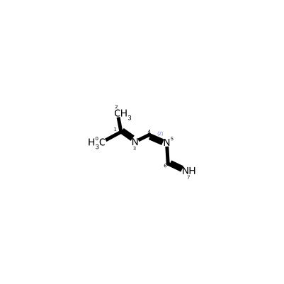 CC(C)=N/C=N\C=N